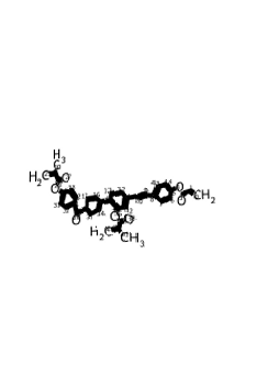 C=CC(=O)Oc1ccc(C#Cc2ccc(-c3ccc(C(=O)c4ccc(OC(=O)C(=C)C)cc4)cc3)c(OC(=O)C(=C)C)c2)cc1